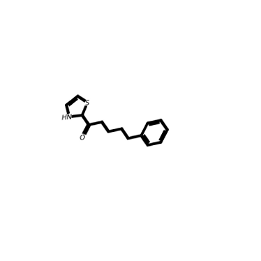 O=C(CCCCc1ccccc1)C1NC=CS1